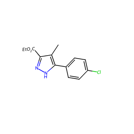 CCOC(=O)c1n[nH]c(-c2ccc(Cl)cc2)c1C